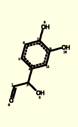 O=[C]C(O)c1ccc(O)c(O)c1